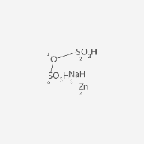 O=S(=O)(O)OS(=O)(=O)O.[NaH].[Zn]